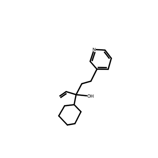 C=CC(O)(CCc1cccnc1)C1CCCCC1